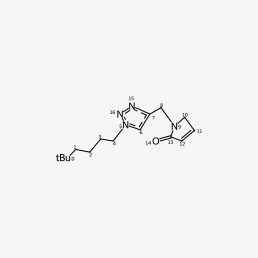 CC(C)(C)CCCCn1cc(CN2CC=CC2=O)nn1